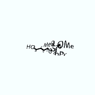 CCC[Si](OC)(OC)OCCCCO